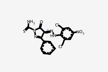 NC(=S)N1N=C(c2ccccc2)/C(=N\Nc2c(Cl)cc([N+](=O)[O-])cc2Cl)C1=O